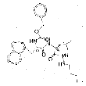 CCCCNNC(=O)[C@H](CC(C)C)NC(=O)[C@H](Cc1cccc2ccccc12)NC(=O)OCc1ccccc1